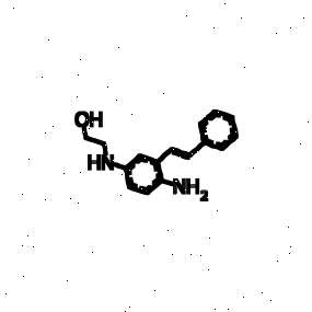 Nc1ccc(NCCO)cc1C=Cc1ccccc1